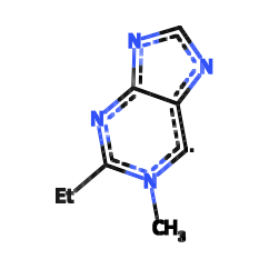 CCc1nc2ncnc-2[c]n1C